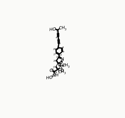 CC(O)C#CC#Cc1ccc(C2=NO[C@@H](C[C@](C)(C(=O)NO)S(C)(=O)=O)C2)cc1